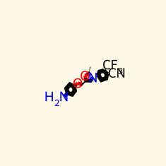 C[C@H]1O[C@H](COc2ccc(N)cc2)CN1c1ccc(C#N)c(C(F)(F)F)c1